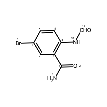 NC(=O)c1cc(Br)ccc1NC=O